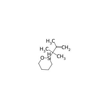 C=C(C)C(C)(C)[SiH]1CCCCO1